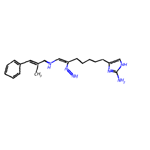 C/C(=C\c1ccccc1)CN/C=C(/CCCCCc1c[nH]c(N)n1)N=N